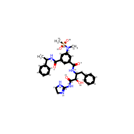 CC(NC(=O)c1cc(C(=O)NC(Cc2ccccc2)C(O)C(=O)NC2=NCCN2)cc(N(C)S(C)(=O)=O)c1)c1ccccc1